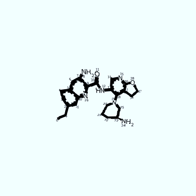 CCc1ccc2cc(N)c(C(=O)Nc3cnc4c(c3N3CCC[C@H](N)C3)CCO4)nc2c1